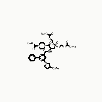 CCCCOC(=O)N1CCN(C(=O)C(CP(=O)(OCOC(=O)OC)OCOC(=O)OC)NC(=O)c2cc(N3CCC(OC)C3)nc(-c3ccccc3)n2)CC1